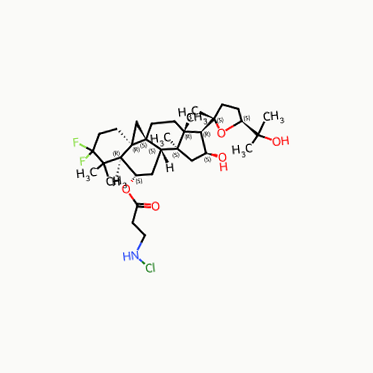 CC(C)(O)[C@@H]1CC[C@@](C)([C@H]2[C@@H](O)C[C@@]3(C)[C@@H]4C[C@H](OC(=O)CCNCl)[C@H]5C(C)(C)C(F)(F)CC[C@@]56C[C@@]46CC[C@]23C)O1